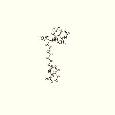 Cc1cnnc(C)c1C(=O)NC(CCOCCCCc1ccc2c(n1)NCCC2)C(=O)O